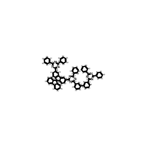 c1ccc(-c2nc(-c3ccccc3)nc(-c3cccc(-c4cccc(-c5nc(-c6ccccc6)nc(-c6ccc7c(c6)-c6cc(-c8nc(-c9ccccc9)nc(-c9ccccc9)n8)ccc6C76c7ccccc7-c7ccccc76)n5)c4)c3)n2)cc1